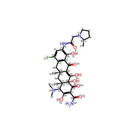 C[C@@H]1CCCN1CC(=O)Nc1cc(F)c2c(c1O)C(=O)C1=C(O)[C@]3(O)C(=O)C(C(N)=O)=C(O)[C@@H](N(C)C)[C@@H]3C[C@@H]1C2